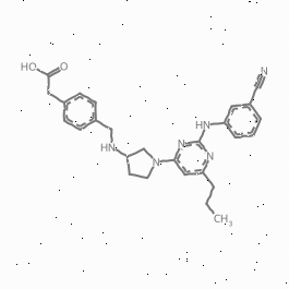 CCCc1cc(N2CCC(NCc3ccc(CC(=O)O)cc3)C2)nc(Nc2cccc(C#N)c2)n1